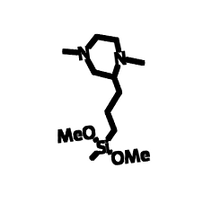 CO[Si](C)(CCCC1CN(C)CCN1C)OC